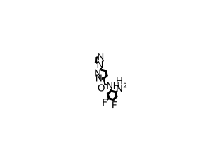 Nc1cc(F)c(F)cc1NC(=O)c1ccc(-n2ccnc2)nn1